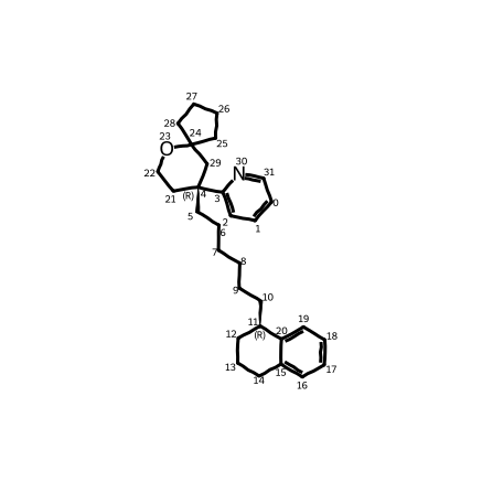 c1ccc([C@]2(CCCCCC[C@@H]3CCCc4ccccc43)CCOC3(CCCC3)C2)nc1